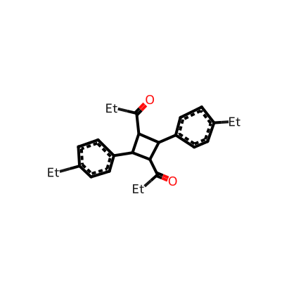 CCC(=O)C1C(c2ccc(CC)cc2)C(C(=O)CC)C1c1ccc(CC)cc1